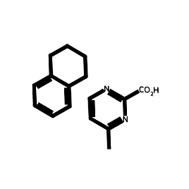 Cc1ccnc(C(=O)O)n1.c1ccc2c(c1)CCCC2